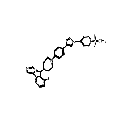 CS(=O)(=O)N1CCC(n2cc(-c3ccc(N4CCC(C5c6c(F)cccc6-c6cncn65)CC4)cc3)cn2)CC1